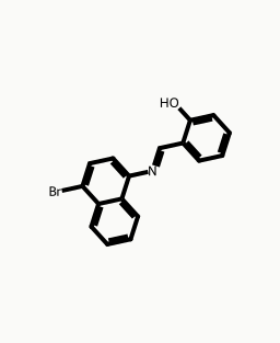 Oc1ccccc1C=Nc1ccc(Br)c2ccccc12